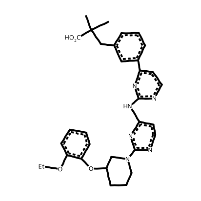 CCOc1ccccc1OC1CCCN(c2nccc(Nc3nccc(-c4cccc(CC(C)(C)C(=O)O)c4)n3)n2)C1